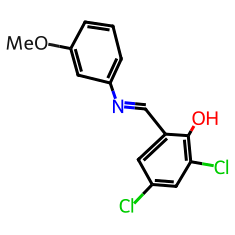 COc1cccc(/N=C/c2cc(Cl)cc(Cl)c2O)c1